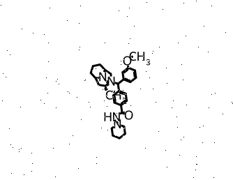 C=CCN1C2CCCC1CN(C(c1ccc(C(=O)NN3CCCCC3)cc1)c1cccc(OC)c1)CC2